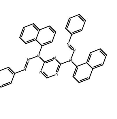 c1ccc(/N=N/N(c2ncnc(N(/N=N/c3ccccc3)c3cccc4ccccc34)n2)c2cccc3ccccc23)cc1